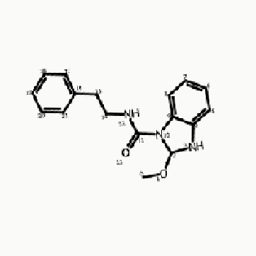 COC1Nc2ccccc2N1C(=O)NCCc1ccccc1